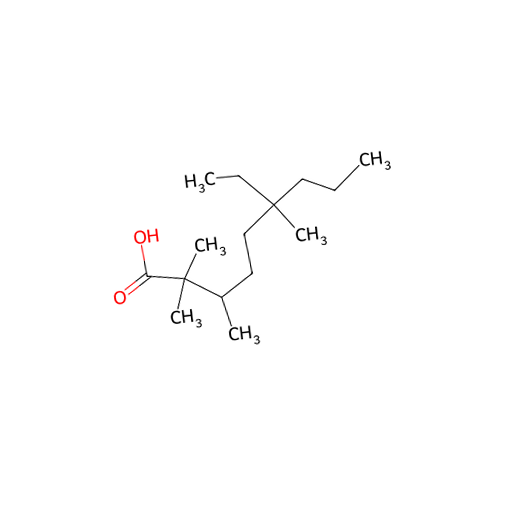 CCCC(C)(CC)CCC(C)C(C)(C)C(=O)O